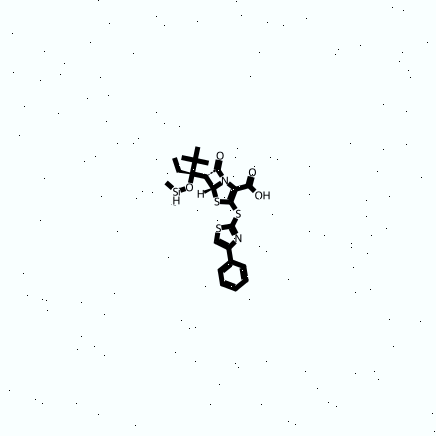 CC[C@](O[SiH](C)C)([C@@H]1C(=O)N2C(C(=O)O)=C(Sc3nc(-c4ccccc4)cs3)S[C@H]12)C(C)(C)C